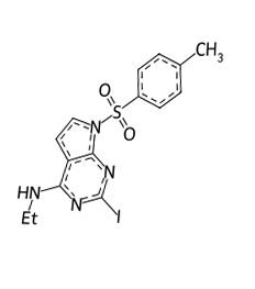 CCNc1nc(I)nc2c1ccn2S(=O)(=O)c1ccc(C)cc1